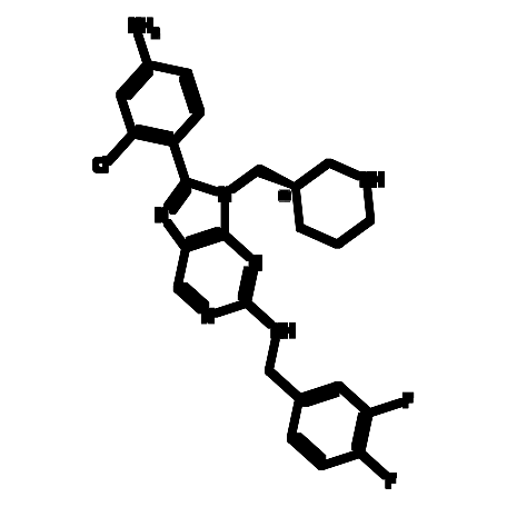 Nc1ccc(-c2nc3cnc(NCc4ccc(F)c(F)c4)nc3n2C[C@@H]2CCCNC2)c(Cl)c1